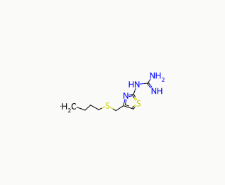 [CH2]CCCSCc1csc(NC(=N)N)n1